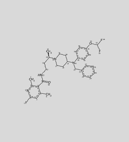 Cc1cc(F)nc(C)c1C(=O)NCC[C@@H](C)N1CCC(N(Cc2cccnc2)c2ccc(OC(F)F)cc2)CC1